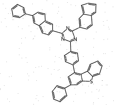 c1ccc(-c2ccc3cc(-c4nc(-c5ccc(-c6cc(-c7ccccc7)cc7sc8ccccc8c67)cc5)nc(-c5ccc6ccccc6c5)n4)ccc3c2)cc1